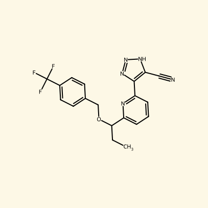 CCC(OCc1ccc(C(F)(F)F)cc1)c1cccc(-c2nn[nH]c2C#N)n1